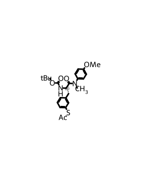 COc1ccc(N(C)C(=O)[C@H](Cc2cccc(SC(C)=O)c2)NC(=O)OC(C)(C)C)cc1